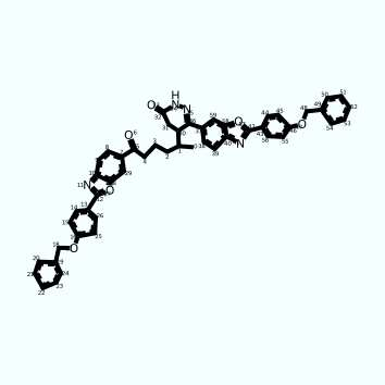 CC(CCCC(=O)c1ccc2nc(-c3ccc(OCc4ccccc4)cc3)oc2c1)C1CC(=O)NN=C1c1ccc2nc(-c3ccc(OCc4ccccc4)cc3)oc2c1